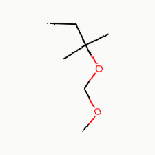 [CH2]CC(C)(C)OCOC